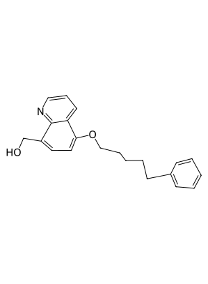 OCc1ccc(OCCCCCc2ccccc2)c2cccnc12